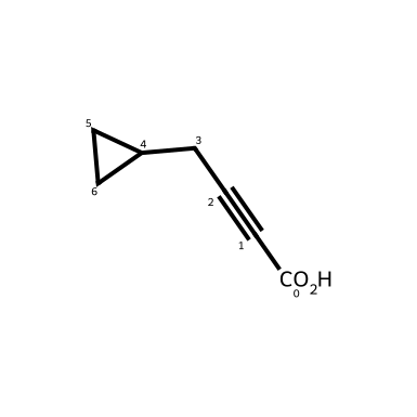 O=C(O)C#CCC1CC1